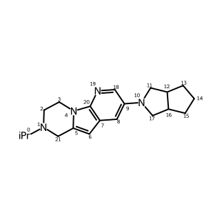 CC(C)N1CCn2c(cc3cc(N4CC5CCCC5C4)cnc32)C1